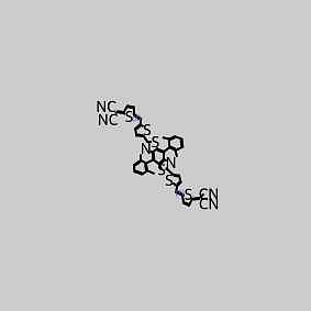 Cc1cccc(C)c1-c1c2nc(-c3ccc(/C=c4/ccc(=C(C#N)C#N)s4)s3)sc2c(-c2c(C)cccc2C)c2nc(-c3ccc(/C=c4/ccc(=C(C#N)C#N)s4)s3)sc12